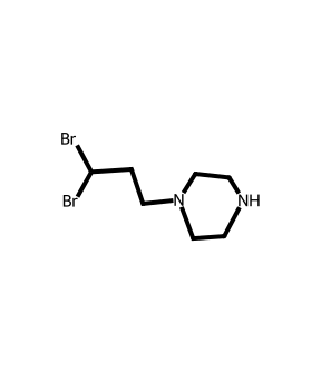 BrC(Br)CCN1CCNCC1